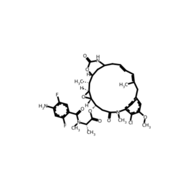 COc1cc2cc(c1Cl)N(C)C(=O)C[C@H](OC(=O)[C@H](C)N(C)C(=O)c1cc(F)c(N)cc1F)[C@@H]1O[C@H]1[C@H](C)[C@@H]1CC(C/C=C/C=C(\C)C2)NC(=O)O1